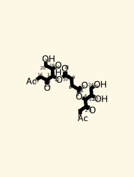 CC(=O)CC(=O)C(OC(=O)CCC(=O)OC(C(=O)CC(C)=O)C(O)CO)C(O)CO